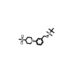 CC(C)(C)[Si](C)(C)OCc1cccc(N2CCC(S(C)(=O)=O)CC2)c1